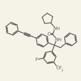 O=C(NC1CCCC1)NC(Cc1ccccc1)(c1ccc(C#Cc2ccccc2)cc1)c1cc(F)cc(C(F)(F)F)c1